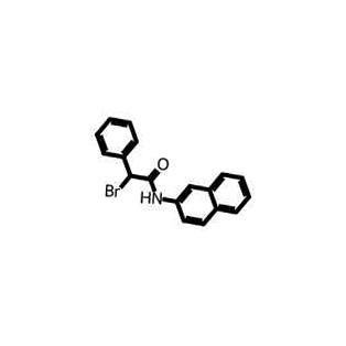 O=C(Nc1ccc2ccccc2c1)C(Br)c1ccccc1